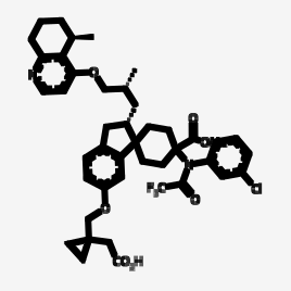 COC(=O)C1(N(C(=O)C(F)(F)F)c2cccc(Cl)c2)CCC2(CC1)c1cc(OCC3(CC(=O)O)CC3)ccc1C[C@@H]2C[C@@H](C)COc1ccnc2c1[C@H](C)CCC2